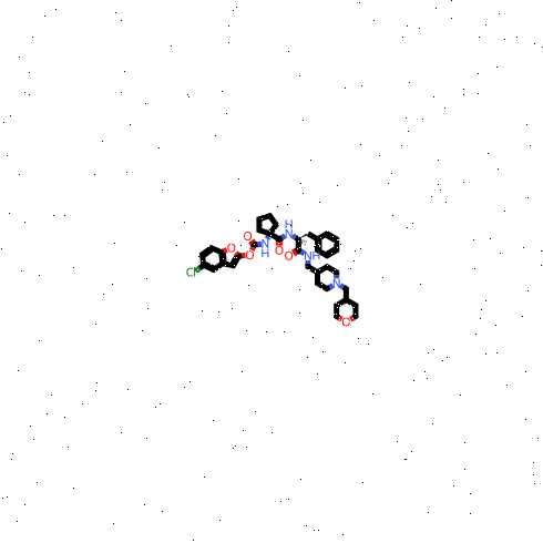 O=C(NC1(C(=O)N[C@H](Cc2ccccc2)C(=O)NCC2CCN(CC3CCOCC3)CC2)CCCC1)Oc1cc2cc(Cl)ccc2o1